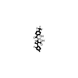 Cc1ccc(C2CSC(NC(=O)c3ccc(C(F)(F)F)cc3O)=C2C(=O)O)c(F)c1